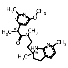 COc1cc([C@H](C)C(=O)N(C)CC[C@@]2(C)CCc3ccc(C)nc3N2)nc(C)n1